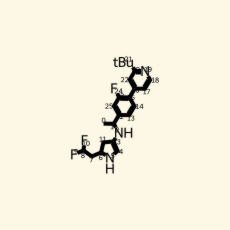 CC(NC1=CNC(CC(F)F)C1)c1ccc(-c2ccnc(C(C)(C)C)c2)c(F)c1